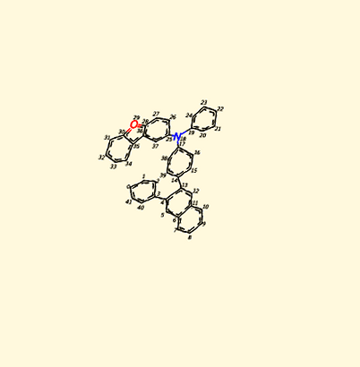 c1ccc(-c2cc3ccccc3cc2-c2ccc(N(c3ccccc3)c3ccc4oc5ccccc5c4c3)cc2)cc1